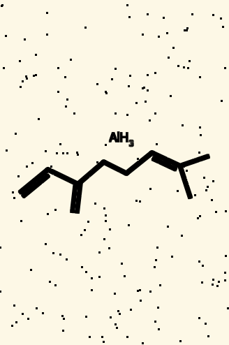 C=CC(=C)CCC=C(C)C.[AlH3]